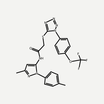 Cc1ccc(-n2nc(C)cc2NC(=O)CSc2nnnn2-c2ccc(OC(F)(F)F)cc2)cc1